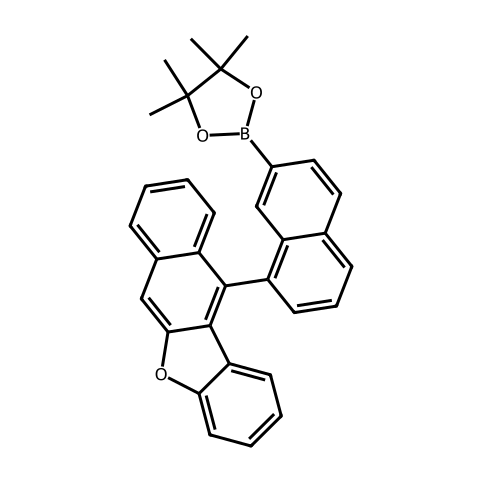 CC1(C)OB(c2ccc3cccc(-c4c5ccccc5cc5oc6ccccc6c45)c3c2)OC1(C)C